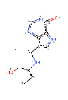 CC[C@@H](CO)NCc1c[nH]c2c(=O)[nH]cnc12